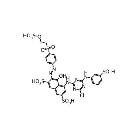 O=S(=O)(O)OCCS(=O)(=O)c1ccc(N=Nc2c(S(=O)(=O)O)cc3cc(S(=O)(=O)O)cc(Nc4nc(Cl)nc(Nc5cccc(S(=O)(=O)O)c5)n4)c3c2O)cc1